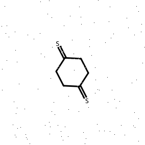 S=C1CCC(=S)CC1